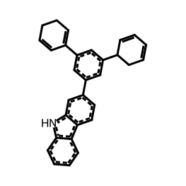 C1=CCC(c2cc(C3=CCCC=C3)cc(-c3ccc4c(c3)[nH]c3ccccc34)c2)C=C1